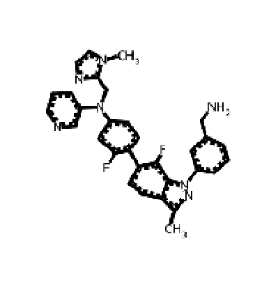 Cc1nn(-c2cccc(CN)c2)c2c(F)c(-c3ccc(N(Cc4nccn4C)c4cccnc4)cc3F)ccc12